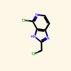 ClCc1nc2ccnc(Cl)c2[nH]1